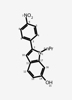 CCCn1c(-c2ccc([N+](=O)[O-])cc2)cc2ccc(O)cc21